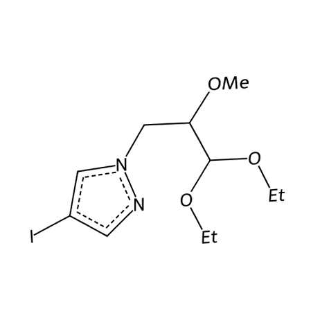 CCOC(OCC)C(Cn1cc(I)cn1)OC